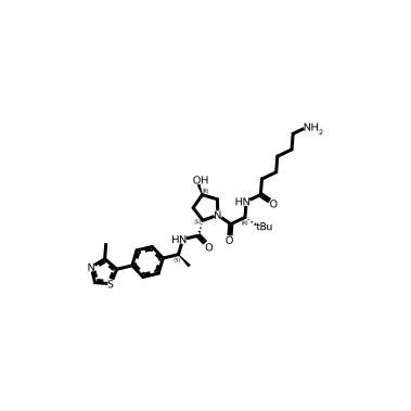 Cc1ncsc1-c1ccc([C@H](C)NC(=O)[C@@H]2C[C@@H](O)CN2C(=O)[C@H](NC(=O)CCCCCN)C(C)(C)C)cc1